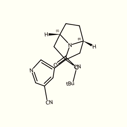 CC(C)(C)OC(=O)N1[C@@H]2CC[C@H]1CC(C#N)(c1cncc(C#N)c1)C2